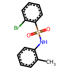 Cc1ccccc1NS(=O)(=O)c1ccccc1Br